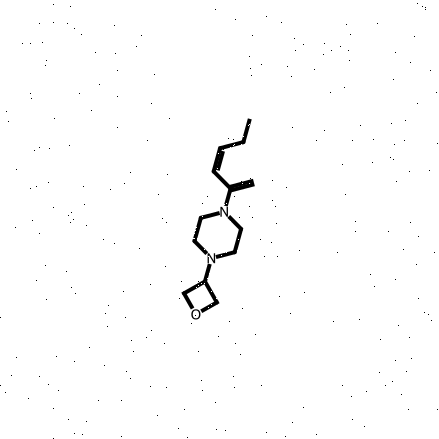 C=C(/C=C\CC)N1CCN(C2COC2)CC1